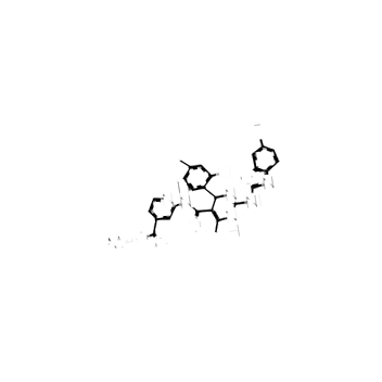 COC(=O)c1ccnc(NC(=O)C2=C(C)NC(Nc3nc4ccc(F)cc4o3)=NC2c2ccc(C)cc2Cl)c1